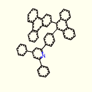 c1ccc(-c2cc(-c3ccccc3)nc(-c3ccc(-c4c(-c5ccc6c7ccccc7c7ccccc7c6c5)c5ccccc5c5ccccc45)cc3)c2)cc1